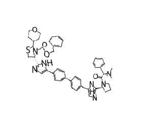 CN(C)[C@@H](C(=O)N1CCC[C@H]1c1ncc(-c2ccc(-c3ccc(-c4cnc([C@@H]5CSC(C6CCOCC6)N5C(=O)OCc5ccccc5)[nH]4)cc3)cc2)[nH]1)c1ccccc1